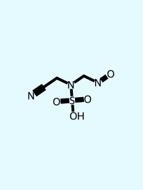 N#CCN(CN=O)S(=O)(=O)O